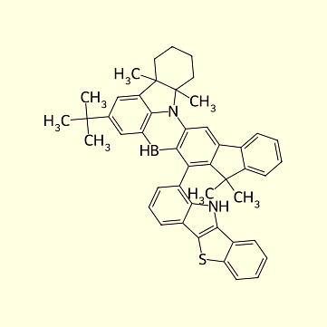 CC(C)(C)c1cc2c3c(c1)C1(C)CCCCC1(C)N3c1cc3c(c(-c4cccc5c4[nH]c4c6ccccc6sc54)c1B2)C(C)(C)c1ccccc1-3